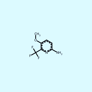 COc1ccc(N)nc1C(F)(F)F